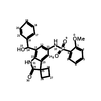 COc1ccccc1S(=O)(=O)Nc1cc(C(O)c2ccccc2)c2c(c1)C1(CCC1)C(=O)N2